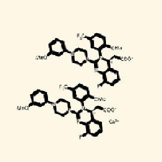 COc1cccc(N2CCN(C3=Nc4c(F)cccc4[C@H](CC(=O)[O-])N3c3cc(C(F)(F)F)ccc3OC)CC2)c1.COc1cccc(N2CCN(C3=Nc4c(F)cccc4[C@H](CC(=O)[O-])N3c3cc(C(F)(F)F)ccc3OC)CC2)c1.[Ca+2]